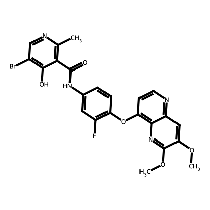 COc1cc2nccc(Oc3ccc(NC(=O)c4c(C)ncc(Br)c4O)cc3F)c2nc1OC